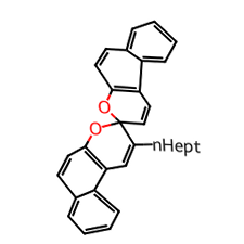 CCCCCCCC1=Cc2c(ccc3ccccc23)OC12C=Cc1c(ccc3ccccc13)O2